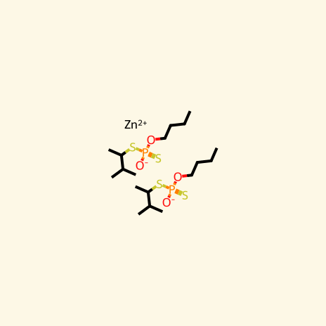 CCCCOP([O-])(=S)SC(C)C(C)C.CCCCOP([O-])(=S)SC(C)C(C)C.[Zn+2]